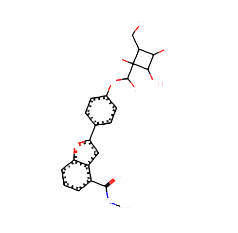 CNC(=O)c1cccc2oc(-c3ccc(OC(O)C4(O)C(O)C(O)C4CO)cc3)cc12